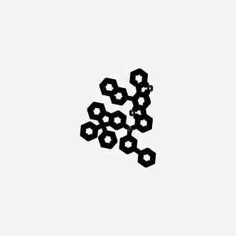 c1ccc(-c2cccc(N(c3ccc4c(c3)C(c3ccccc3)(c3ccccc3)c3ccccc3-4)c3cccc4c3oc3c(-c5ccc6ccccc6c5)c5c(cc34)oc3ccccc35)c2)cc1